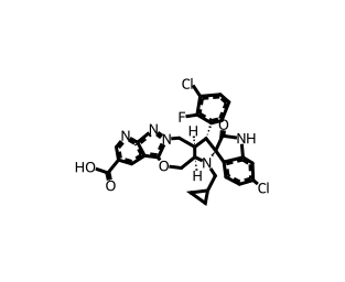 O=C(O)c1cnc2nn3c(c2c1)OC[C@H]1[C@@H](C3)[C@H](c2cccc(Cl)c2F)[C@]2(C(=O)Nc3cc(Cl)ccc32)N1CC1CC1